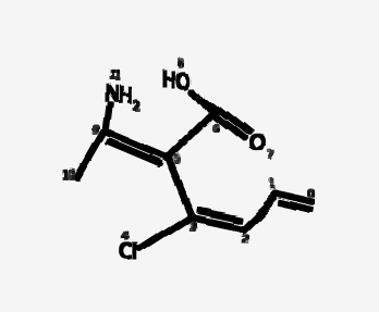 C=C/C=C(Cl)\C(C(=O)O)=C(/C)N